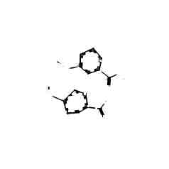 COc1ccc(C(=O)Cl)cc1.COc1cccc(C(=O)Cl)c1